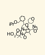 Cc1c(-c2ncco2)sc2c1c(=O)n(C(C)(C)C(=O)O)c(=O)n2CC(OC1CCOCC1)c1ccccc1COC(C)C